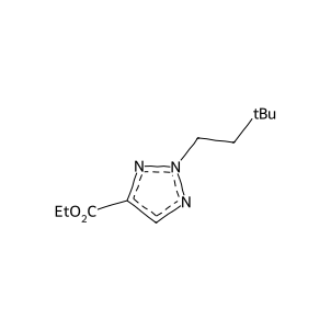 CCOC(=O)c1cnn(CCC(C)(C)C)n1